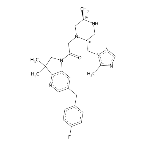 Cc1ncnn1C[C@H]1CN[C@H](C)CN1CC(=O)N1CC(C)(C)c2ncc(Cc3ccc(F)cc3)cc21